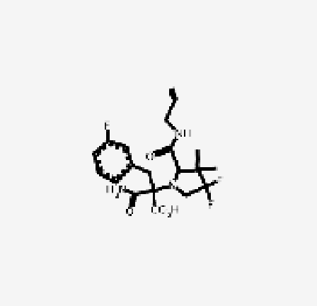 C=CCNC(=O)C1N([C@@](Cc2cccc(F)c2)(C(N)=O)C(=O)O)CC(F)(F)C1(C)C